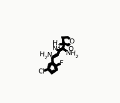 CC1(/C(N)=C(N)/C=C(\N)c2cc(Cl)ccc2F)CCOC1=O